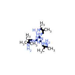 CC(N)C(C)CNc1nc(NCC(C)C(C)N)nc(NCC(C)C(C)(C)N)n1